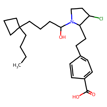 CCCCC1(CCCC(O)N2CCC(Cl)C2CCc2ccc(C(=O)O)cc2)CCC1